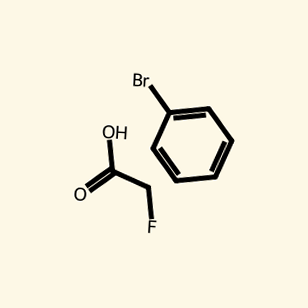 Brc1ccccc1.O=C(O)CF